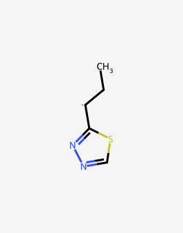 CC[CH]c1nncs1